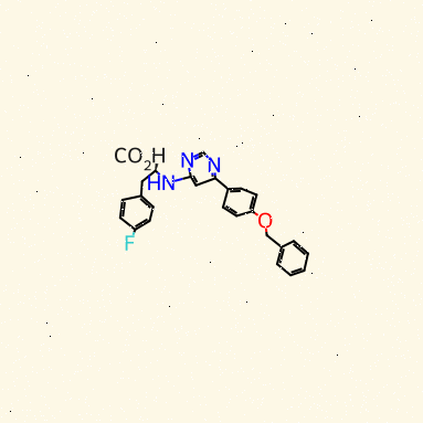 O=C(O)[C@H](Cc1ccc(F)cc1)Nc1cc(-c2ccc(OCc3ccccc3)cc2)ncn1